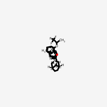 Cc1nccc(N2C[C@H]3CC[C@@H](C2)[C@@H]3Nc2nc3c(OC(C)C(F)(F)F)cccn3n2)n1